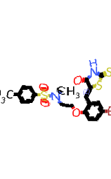 Cc1ccc(S(=O)(=O)N(C)CCOc2ccc(Br)cc2/C=C2\SC(=S)NC2=O)cc1